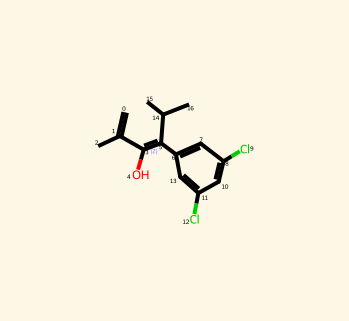 C=C(C)/C(O)=C(/c1cc(Cl)cc(Cl)c1)C(C)C